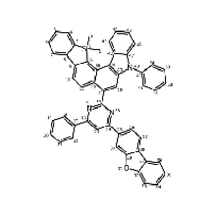 C[Si]1(C)c2ccccc2-c2ccc3c(-c4nc(-c5ccccc5)cc(-c5ccc6c(c5)oc5ccccc56)n4)cc4c(c5ccccc5n4-c4ccccc4)c3c21